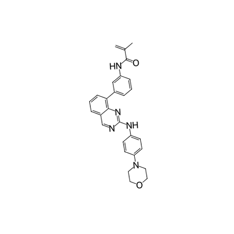 C=C(C)C(=O)Nc1cccc(-c2cccc3cnc(Nc4ccc(N5CCOCC5)cc4)nc23)c1